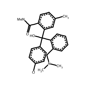 CNC(=O)c1ccc(C)cc1C(O)(c1ccc(Cl)cc1)c1ccccc1CN(C)C